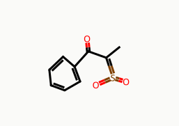 CC(C(=O)c1ccccc1)=S(=O)=O